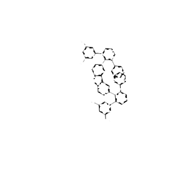 CC(C)(C)c1cc(-c2cccc(-c3ccccc3)c2-c2ccc3sc4ccc(-c5c(-c6ccccc6)cccc5-c5cc(C(C)(C)C)cc(C(C)(C)C)c5)cc4c3c2)cc(C(C)(C)C)c1